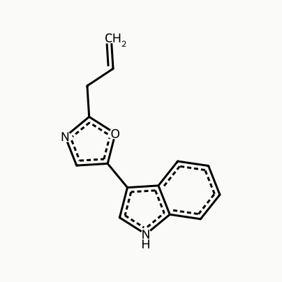 C=CCc1ncc(-c2c[nH]c3ccccc23)o1